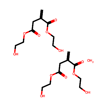 C=C(CC(=O)OCCO)C(=O)OCCO.C=C(CC(=O)OCCO)C(=O)OCCO.O